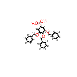 OB(O)c1cc(OCc2ccccc2)c(OCc2ccccc2)c(OCc2ccccc2)c1